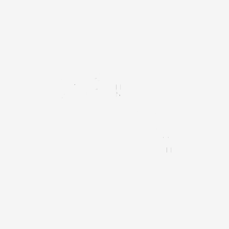 COc1ccc(S(=O)(=O)NCC(=O)OC(C)(C)C)cc1